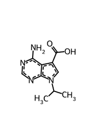 CC(C)n1cc(C(=O)O)c2c(N)ncnc21